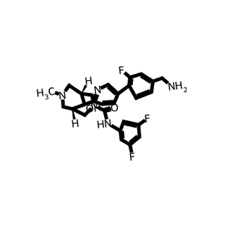 CN1C[C@@H]2CN(C(=O)Nc3cc(F)cc(F)c3)C[C@H](C1)C2(O)c1ccc(-c2ccc(CN)cc2F)cn1